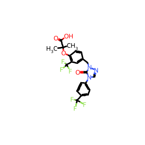 CC(C)(Oc1ccc(Cn2ncn(-c3ccc(C(F)(F)F)cc3)c2=O)cc1C(F)(F)F)C(=O)O